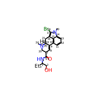 CCC(CO)NC(=O)C1C=C2c3cccc4c3c(c(Br)n4C)C[C@H]2N(C)C1